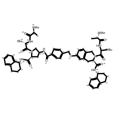 CN[C@@H](C)C(=O)NC(C(=O)N1Cc2ccc(OCc3ccc(C(=O)NC4C[C@@H](C(=O)N[C@@H]5CCCc6ccccc65)N(C(=O)[C@@H](NC(=O)[C@H](C)NC)C(C)(C)C)C4)cc3)cc2C[C@@H]1C(=O)N[C@@H]1CCCc2ccccc21)C(C)(C)C